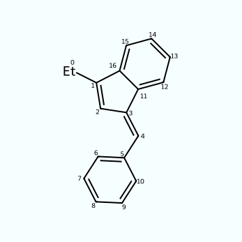 [CH2]CC1=CC(=Cc2ccccc2)c2ccccc21